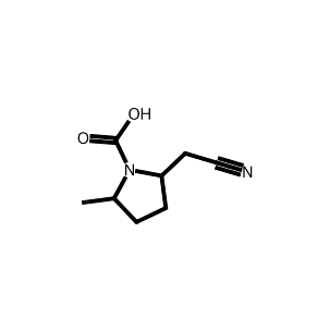 CC1CCC(CC#N)N1C(=O)O